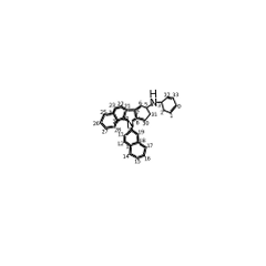 C1=CCC(NC2C=c3c(n(-c4ccc5ccccc5c4)c4c3ccc3ccccc34)=CC2)C=C1